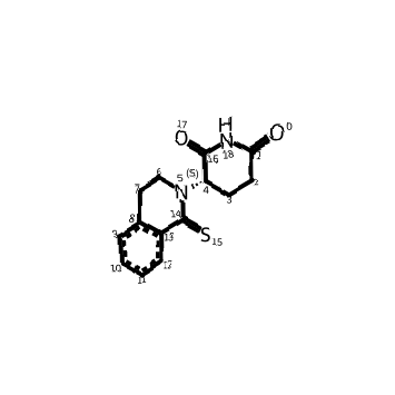 O=C1CC[C@H](N2CCc3ccccc3C2=S)C(=O)N1